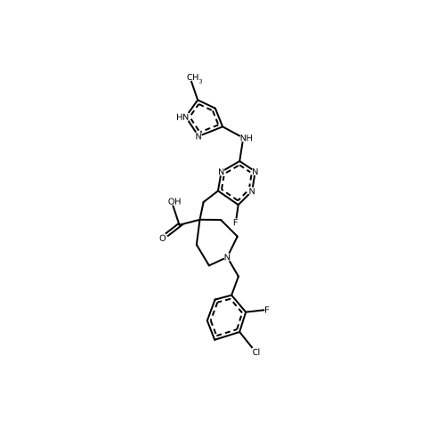 Cc1cc(Nc2nnc(F)c(CC3(C(=O)O)CCN(Cc4cccc(Cl)c4F)CC3)n2)n[nH]1